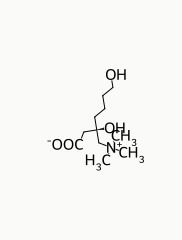 C[N+](C)(C)C[C@@](O)(CCCCO)CC(=O)[O-]